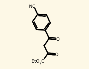 CCOC(=O)C(=O)CC(=O)c1ccc(C#N)cc1